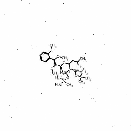 COC(C(=O)OC(CC(C)C)[SiH]([SiH2]O[Si](C)(C)C)[SiH2]O[Si](C)(C)C)=C(OC)c1ccccc1OC